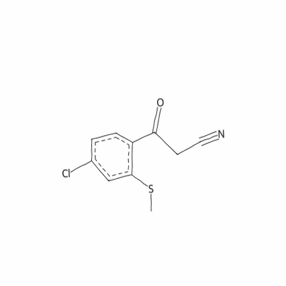 CSc1cc(Cl)ccc1C(=O)CC#N